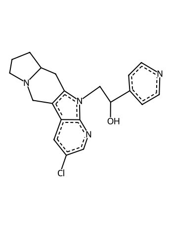 OC(Cn1c2c(c3cc(Cl)cnc31)CN1CCCC1C2)c1ccncc1